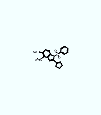 COc1ccc2c(cc(C3=CCCC3)n2S(=O)(=O)c2ccccc2)c1OC